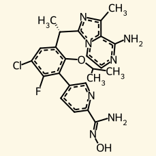 Cc1nc([C@@H](C)c2cc(Cl)c(F)c(-c3ccc(/C(N)=N/O)nc3)c2OC(C)C)n2ccnc(N)c12